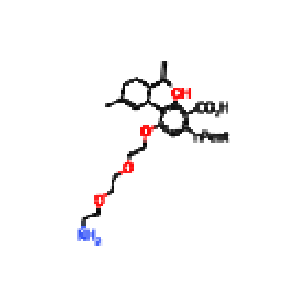 C=C(C)C1CCC(C)=CC1c1c(OCCOCCOCCN)cc(CCCCC)c(C(=O)O)c1O